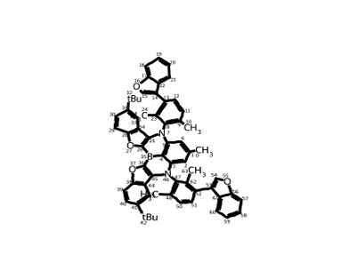 Cc1cc2c3c(c1)N(c1c(C)ccc(-c4coc5ccccc45)c1C)c1c(oc4ccc(C(C)(C)C)cc14)B3c1oc3ccc(C(C)(C)C)cc3c1N2c1c(C)ccc(-c2coc3ccccc23)c1C